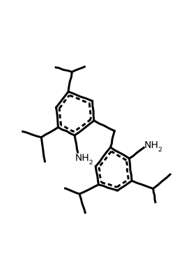 CC(C)c1cc(Cc2cc(C(C)C)cc(C(C)C)c2N)c(N)c(C(C)C)c1